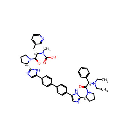 CCN(CC)[C@@H](C(=O)N1CCC[C@H]1c1ncc(-c2ccc(-c3ccc(-c4cnc([C@@H]5CCCN5C(=O)[C@H](Cc5cccnc5)N(C)C(=O)O)[nH]4)cc3)cc2)[nH]1)c1ccccc1